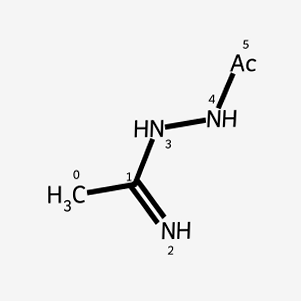 CC(=N)NNC(C)=O